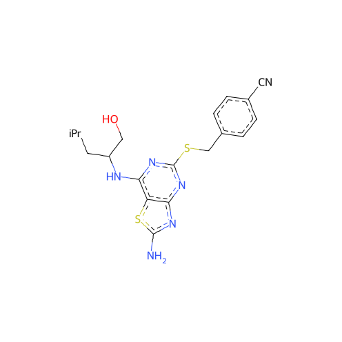 CC(C)CC(CO)Nc1nc(SCc2ccc(C#N)cc2)nc2nc(N)sc12